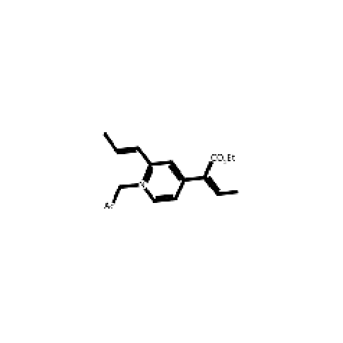 C/C=C(\C(=O)OCC)c1cc[n+](CC(C)=O)c(/C=C/C)c1